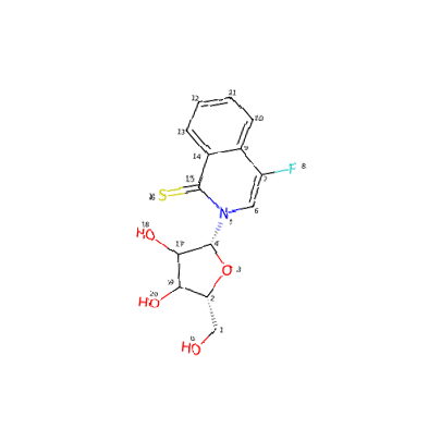 OC[C@H]1O[C@@H](n2cc(F)c3ccccc3c2=S)C(O)C1O